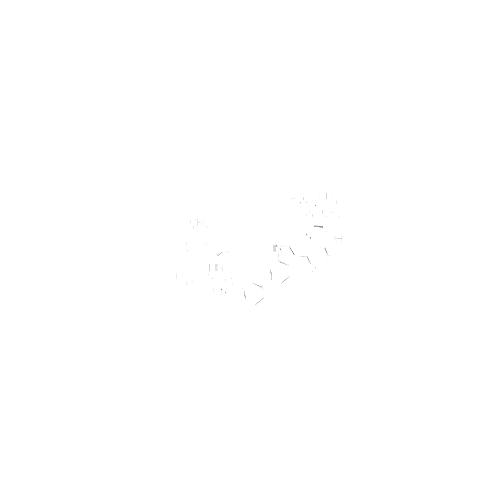 CC(C)[C@@H]1CC[C@@H](C)C[C@H]1C(=O)NC[C@@H](N)c1cccc(-c2ccc3c(C(=O)[C@H](NC(=O)OC(C)(C)C)C(=O)O)c[nH]c3c2)c1